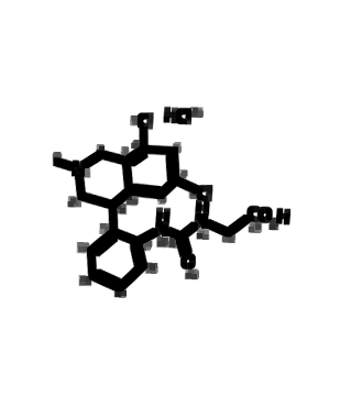 CN1Cc2c(Cl)cc(Cl)cc2C(c2ccccc2NC(=O)NCC(=O)O)C1.Cl